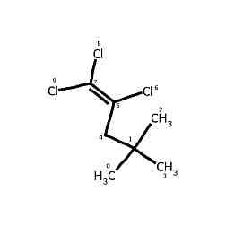 CC(C)(C)CC(Cl)=C(Cl)Cl